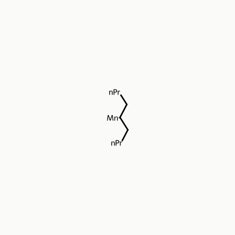 CCCCCCCCC.[Mn]